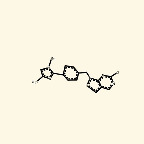 CC(C)n1cc([N+](=O)[O-])nc1-c1ccc(Cn2ncc3cnc(Cl)nc32)cc1